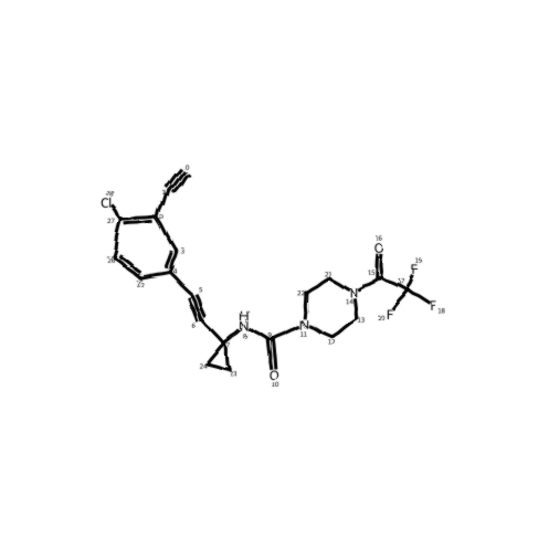 C#Cc1cc(C#CC2(NC(=O)N3CCN(C(=O)C(F)(F)F)CC3)CC2)ccc1Cl